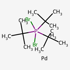 CC(C)(C)P(Br)(Br)(C(C)(C)C)C(C)(C)C.[Pd]